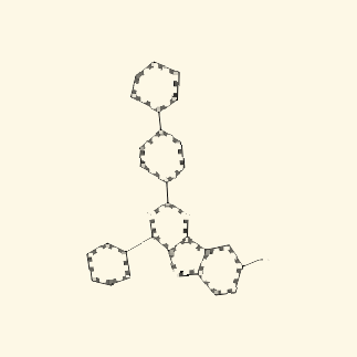 Brc1ccc2oc3c(-c4ccccc4)nc(-c4ccc(-c5ccccc5)cc4)nc3c2c1